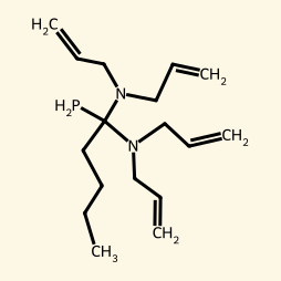 C=CCN(CC=C)C(P)(CCCC)N(CC=C)CC=C